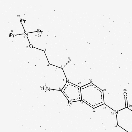 CC(C)[Si](OCC[C@H](C)n1c(N)nc2cc(N3CCOCC3=O)ccc21)(C(C)C)C(C)C